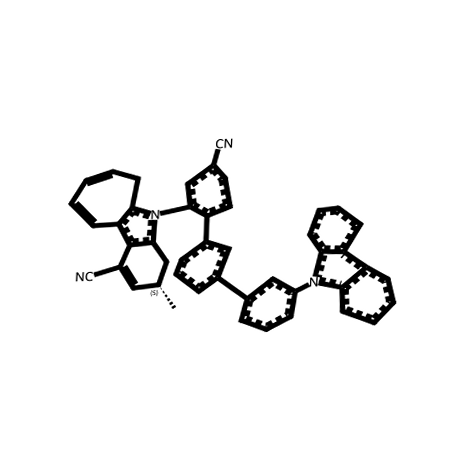 C[C@@H]1C=C(C#N)c2c3c(n(-c4cc(C#N)ccc4-c4cccc(-c5cccc(-n6c7ccccc7c7ccccc76)c5)c4)c2C1)CC=CC=C3